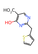 O=C(O)c1cnc(Cc2cccs2)nc1O